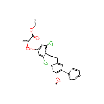 CCOC(=O)C(C)Oc1cc(Cl)c(Cc2ccc(OC)c(-c3ccccc3)c2)c(Cl)c1